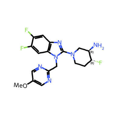 COc1cnc(Cn2c(N3CC[C@@H](F)[C@H](N)C3)nc3cc(F)c(F)cc32)nc1